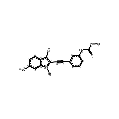 CCNC(=O)Nc1cccc(C#Cc2c(N)c3ccc(OC)cc3n2CC)c1